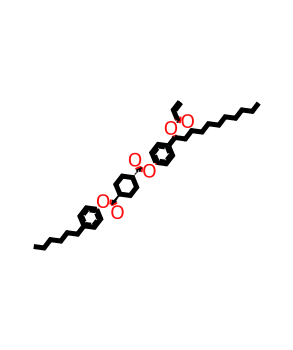 C=CC(=O)OC(CCCCCCCCCC)c1ccc(OC(=O)[C@H]2CC[C@H](C(=O)Oc3ccc(CCCCCC)cc3)CC2)cc1